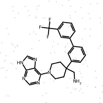 NCC1(c2cccc(-c3cccc(C(F)(F)F)c3)c2)CCN(c2ncnc3[nH]cnc23)CC1